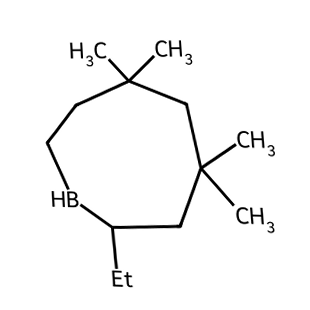 CCC1BCCC(C)(C)CC(C)(C)C1